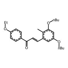 CCCCOc1cc(C=CC(=O)c2ccc(OCC)cc2)c(C)c(OCCCC)c1